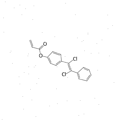 C=CC(=O)Oc1ccc(C(Cl)=C(Cl)c2ccccc2)cc1